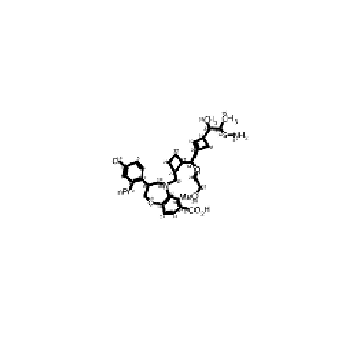 CCCc1cc(Cl)ccc1C1COc2ccc(C(=O)O)cc2N(CC2CCC2C(OCCOC)C2=CC(C(C)C(C)SN)C2)C1